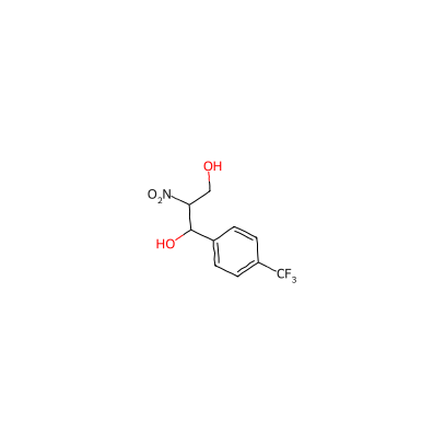 O=[N+]([O-])C(CO)C(O)c1ccc(C(F)(F)F)cc1